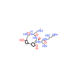 CNCCC[C@@H](CNC(=O)CC(CCNC)NC(=O)[C@@H]1Cc2cc(ccc2O)-c2ccc(O)c(c2)C[C@H](NC)C(=O)N[C@@H](CCCNC)C(=O)N1)NC